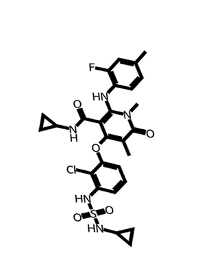 Cc1ccc(Nc2c(C(=O)NC3CC3)c(Oc3cccc(NS(=O)(=O)NC4CC4)c3Cl)c(C)c(=O)n2C)c(F)c1